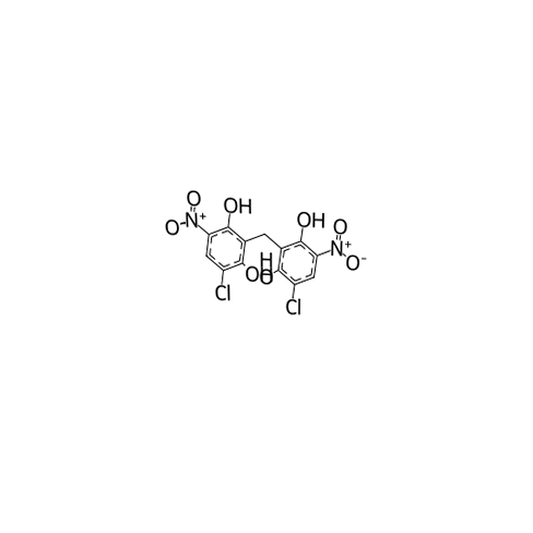 O=[N+]([O-])c1cc(Cl)c(O)c(Cc2c(O)c(Cl)cc([N+](=O)[O-])c2O)c1O